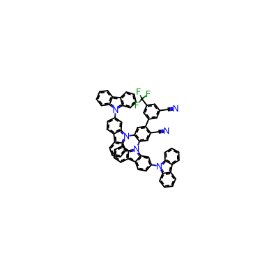 N#Cc1cc(-c2cc(-n3c4ccccc4c4ccc(-n5c6ccccc6c6ccccc65)cc43)c(-n3c4ccccc4c4ccc(-n5c6ccccc6c6ccccc65)cc43)cc2C#N)cc(C(F)(F)F)c1